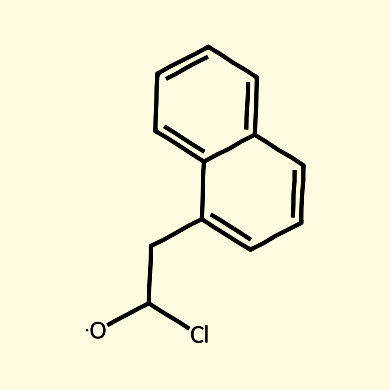 [O]C(Cl)Cc1cccc2ccccc12